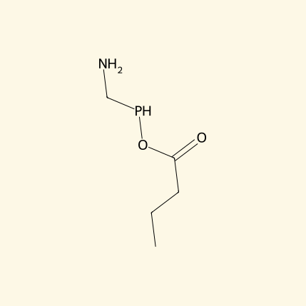 CCCC(=O)OPCN